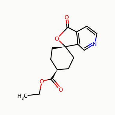 CCOC(=O)[C@H]1CC[C@@]2(CC1)OC(=O)c1ccncc12